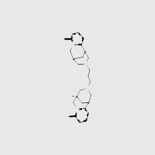 O=c1cccc2n1C[C@H]1C[C@@H]2CN(CCCN2C[C@@H]3C[C@H](C2)c2cccc(=O)n2C3)C1